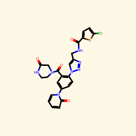 O=C1CN(C(=O)c2cc(-n3ccccc3=O)ccc2-n2cc(CNC(=O)c3ccc(Cl)s3)nn2)CCN1